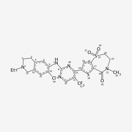 CCN1CCc2cc(Nc3ncc(C(F)(F)F)c(-c4cc5c(s4)C(=O)N(C)CCS5(=O)=O)n3)c(Cl)cc2C1